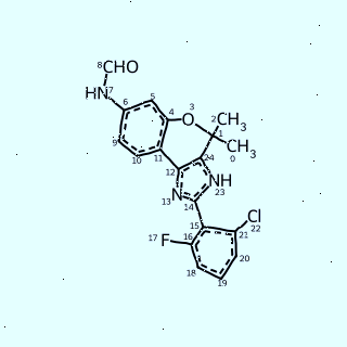 CC1(C)Oc2cc(NC=O)ccc2-c2nc(-c3c(F)cccc3Cl)[nH]c21